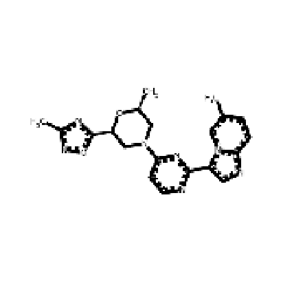 Cc1noc([C@@H]2CN(c3ccnc(-c4cnc5ccc(C(F)(F)F)cn45)n3)C[C@H](C)O2)n1